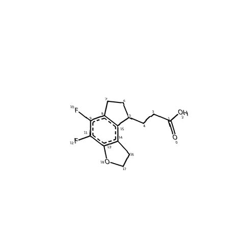 O=C(O)CCC1CCc2c(F)c(F)c3c(c21)CCO3